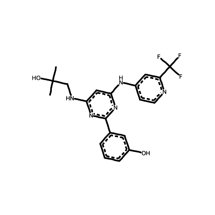 CC(C)(O)CNc1cc(Nc2ccnc(C(F)(F)F)c2)nc(-c2cccc(O)c2)n1